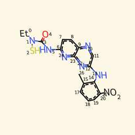 CCN(S)C(=O)Nc1ccc2ncc(Nc3c(C)cccc3[N+](=O)[O-])nc2n1